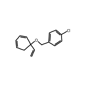 C=CC1(OCc2ccc(Cl)cc2)C=CC=CC1